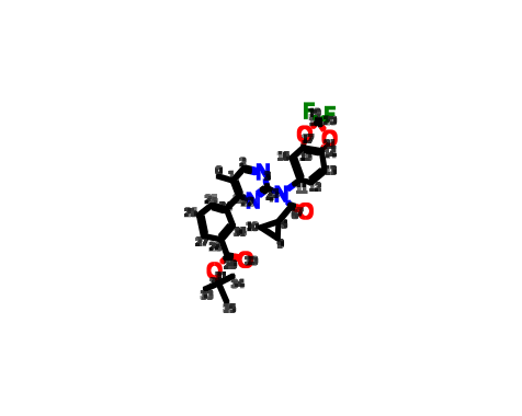 Cc1cnc(N(C(=O)C2CC2)c2ccc3c(c2)OC(F)(F)O3)nc1-c1cccc(C(=O)OC(C)(C)C)c1